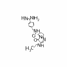 CCCNc1cnc2n(c1=O)[C@H](C(=O)NCc1ccc(C(=N)N)cc1)CC2